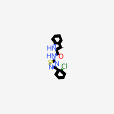 O=C(Nc1nc(-c2ccccc2Cl)ns1)c1[c]c2ccccc2[nH]1